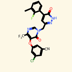 Cc1cccc(-c2cc(Cn3cnc(C(F)(F)F)c(Oc4cc(Cl)cc(C#N)c4)c3=O)n[nH]c2=O)c1F